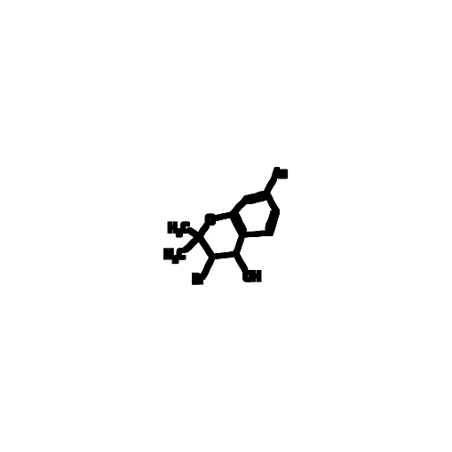 CC(=O)c1ccc2c(c1)OC(C)(C)C(Br)C2O